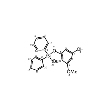 COc1cc(O)cc(O[Si](c2ccccc2)(c2ccccc2)C(C)(C)C)c1